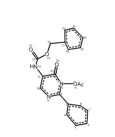 CC(=O)On1c(-c2ccccc2)ncc(NC(=O)OCc2ccccc2)c1=O